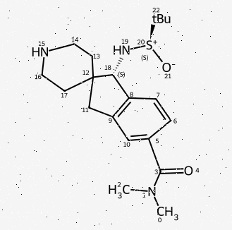 CN(C)C(=O)c1ccc2c(c1)CC1(CCNCC1)[C@@H]2N[S@+]([O-])C(C)(C)C